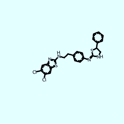 Clc1cc2nc(NCCc3ccc(/N=C4/NCC(c5ccccc5)S4)cc3)sc2cc1Cl